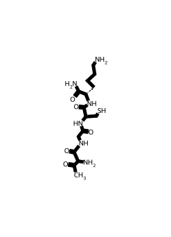 CC(=O)C(N)C(=O)NCC(=O)NC(CS)C(=O)N[C@@H](CCCCN)C(N)=O